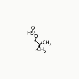 C=C(C)CO[SH]=O